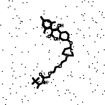 Cc1cc(C)c(/C(C(=O)O)=C(\O)C2CCC(OC3CCN(CCOCCOCC(=O)NC(C)C(C)(C)C)CC3)CC2)c(C)c1